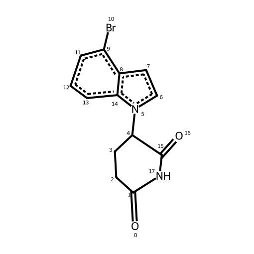 O=C1CCC(n2ccc3c(Br)cccc32)C(=O)N1